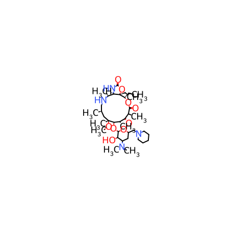 CC[C@H]1OC(=O)C(C)C(=O)[C@H](C)[C@@H](OC2OC(CN3CCCCC3)CC(N(C)C)C2O)[C@](C)(OC)C[C@@H](C)CN[C@H](C)[C@H]2NC(=O)O[C@@]21CC